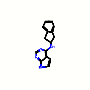 c1ccc2c(c1)CC(Nc1ncnc3[nH]ccc13)C2